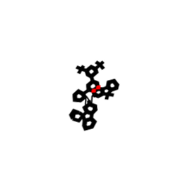 CC(C)(C)c1cc(-c2cccc(-c3ccccc3N(c3ccc4c(c3)C(C)(C)c3ccccc3-4)c3ccc4c(c3)C3(CC5CCC3C5)c3ccccc3-4)c2)cc(C(C)(C)C)c1